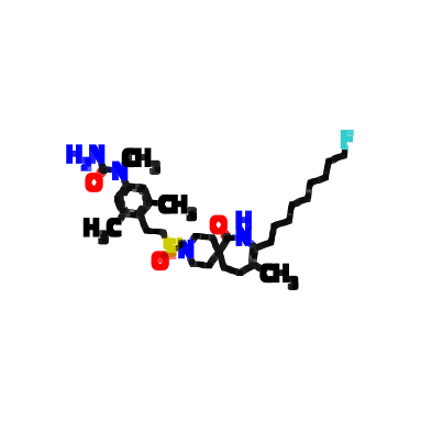 CC1=C(CCCCCCCCCF)NC(=O)C2(CC1)CCN([S+]([O-])CCc1c(C)cc(N(C)C(N)=O)cc1C)CC2